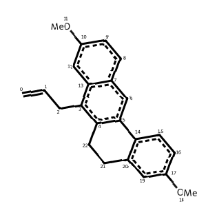 C=CCc1c2c(cc3ccc(OC)cc13)-c1ccc(OC)cc1CC2